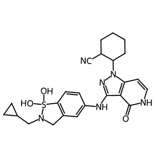 N#CC1CCCCC1n1nc(Nc2ccc3c(c2)CN(CC2CC2)S3(O)O)c2c(=O)[nH]ccc21